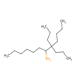 CCCCCCC(P)C(CCC)(CCC)CCCC